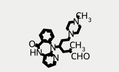 CC(C=O)CC(CCN1CCN(C)CC1)N1c2ccccc2C(=O)Nc2cccnc21